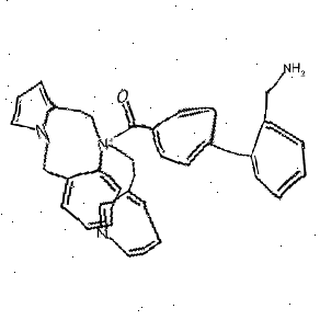 NCc1ccccc1-c1ccc(C(=O)[N+]2(Cc3cccnc3)Cc3cccn3Cc3ccccc32)cc1